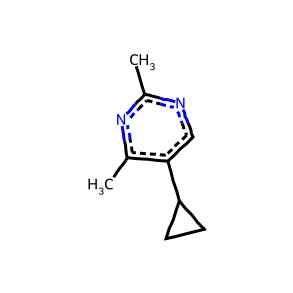 Cc1ncc(C2CC2)c(C)n1